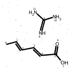 C/C=C/C=C/C(=O)O.N=C(N)N